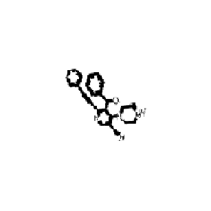 N#Cc1cnc(C#Cc2ccccc2)c(C(=O)c2ccccc2)c1N1CCNCC1